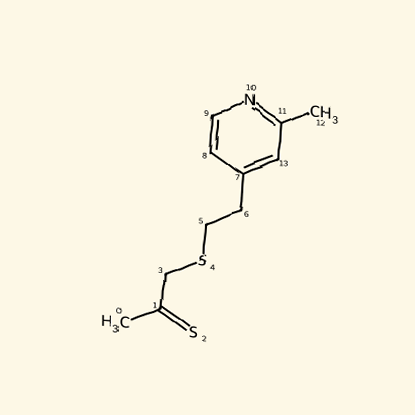 CC(=S)CSCCc1ccnc(C)c1